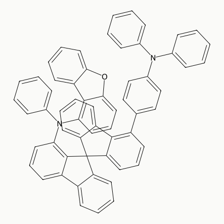 c1ccc(N(c2ccccc2)c2ccc(-c3cccc4c3-c3ccccc3C43c4ccccc4-c4cccc(N(c5ccccc5)c5cccc6oc7ccccc7c56)c43)cc2)cc1